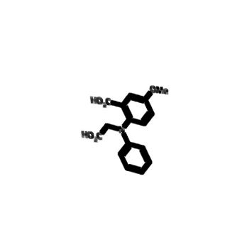 COc1ccc(N(CC(=O)O)c2ccccc2)c(C(=O)O)c1